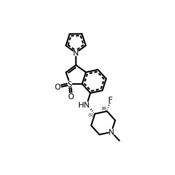 CN1CC[C@H](Nc2cccc3c2S(=O)(=O)C=C3n2cccc2)[C@H](F)C1